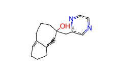 OC1(Cc2cnccn2)CCCC2=CCCCC23CC=CC=C13